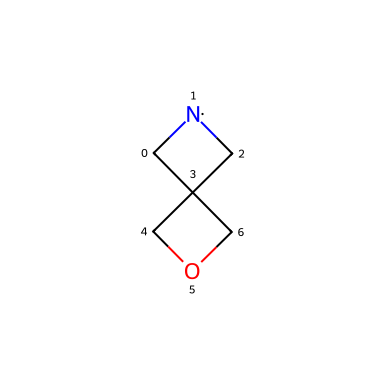 C1[N]CC12COC2